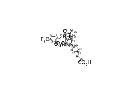 COc1cc(C(F)(F)F)ccc1CCNC(=O)C1CCCN1c1cc(N2CCC(CCCC(=O)O)CC2)nc(C(F)(F)F)n1